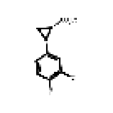 CCOC(=O)[C@H]1C[C@@H]1c1ccc(F)c(Cl)c1